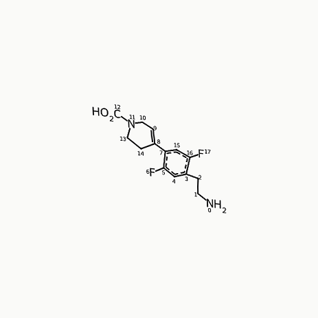 NCCc1cc(F)c(C2=CCN(C(=O)O)CC2)cc1F